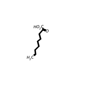 C=CCCCCCC(=O)C(=O)O